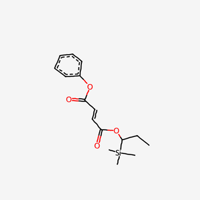 CCC(OC(=O)/C=C/C(=O)Oc1ccccc1)[Si](C)(C)C